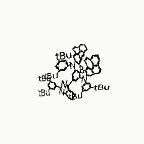 CC(C)(C)c1cc(-c2nc(-c3cc4c5c(c3)N(c3cc(C(C)(C)C)cc(C(C)(C)C)c3)c3cc6ccc7cccc8ccc(c3B5c3c(cc5ccc9cccc%10ccc3c5c9%10)N4c3cc(C(C)(C)C)cc(C(C)(C)C)c3)c6c78)c3ccccc3n2)cc(C(C)(C)C)c1